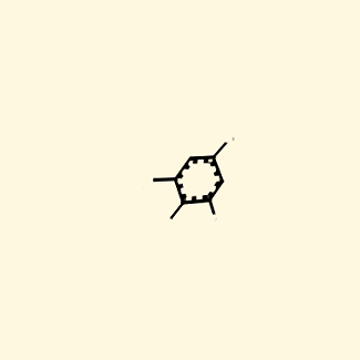 CCCc1cc(C(C)=O)c(O)c(C(=O)O)c1